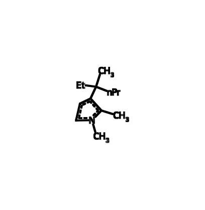 CCCC(C)(CC)c1ccn(C)c1C